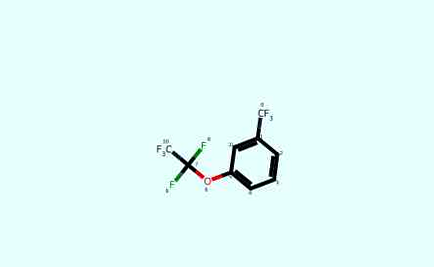 FC(F)(F)c1cccc(OC(F)(F)C(F)(F)F)c1